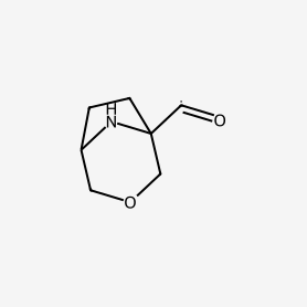 O=[C]C12CCC(COC1)N2